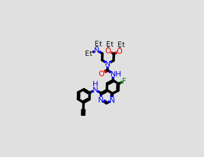 C#Cc1cccc(Nc2ncnc3cc(F)c(NC(=O)N(CCN(CC)CC)CC(OCC)OCC)cc23)c1